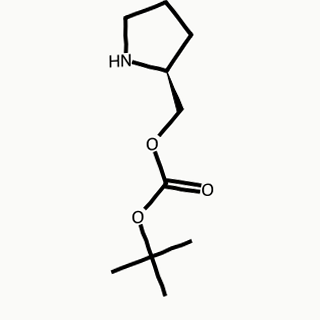 CC(C)(C)OC(=O)OC[C@@H]1CCCN1